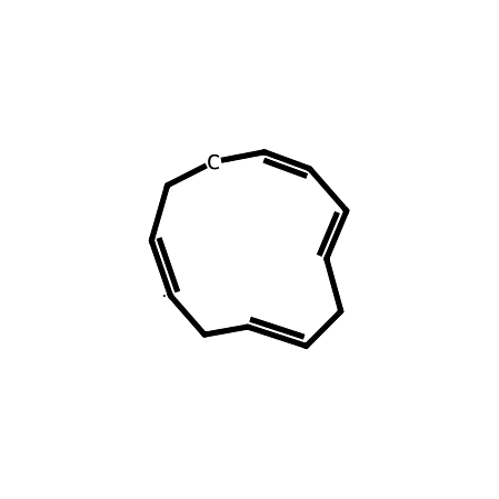 [C]1=C\CC/C=C\C=C\C/C=C/C/1